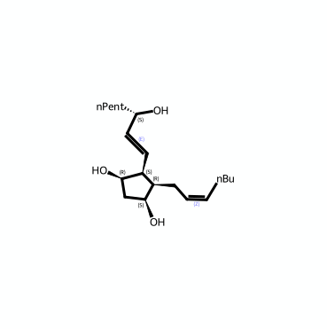 CCCC/C=C\C[C@@H]1[C@H](/C=C/[C@@H](O)CCCCC)[C@H](O)C[C@@H]1O